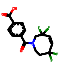 O=C(O)c1ccc(C(=O)N2CCC(F)(F)/C=C\C(F)(F)C2)cc1